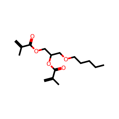 C=C(C)C(=O)OCC(COCCCCC)OC(=O)C(=C)C